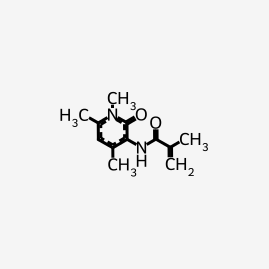 C=C(C)C(=O)Nc1c(C)cc(C)n(C)c1=O